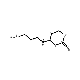 CCCCCCCCCCNC1CCOC(=O)C1